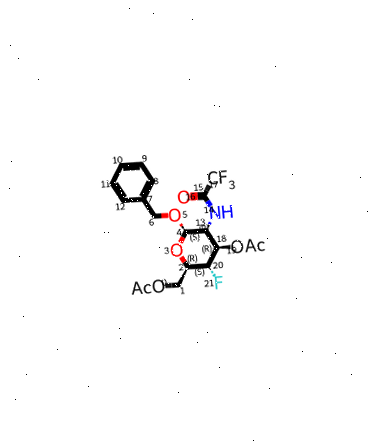 CC(=O)OC[C@H]1O[C@H](OCc2ccccc2)[C@H](NC(=O)C(F)(F)F)[C@@H](OC(C)=O)[C@@H]1F